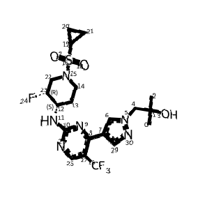 CC(C)(O)Cn1cc(-c2nc(N[C@H]3CCN(S(=O)(=O)C4CC4)C[C@H]3F)ncc2C(F)(F)F)cn1